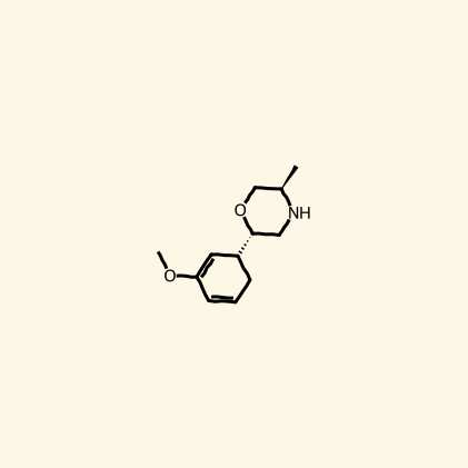 COC1=CC([C@H]2CN[C@H](C)CO2)CC=C1